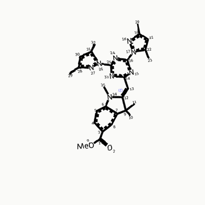 COC(=O)c1ccc2c(c1)C(C)(C)/C(=C/c1nc(-n3nc(C)cc3C)nc(-n3nc(C)cc3C)n1)N2C